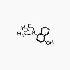 CCN(CC)c1ccc(O)c2ccccc12